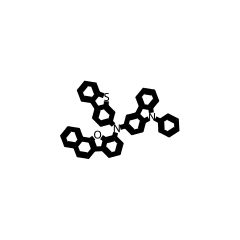 c1ccc(-n2c3ccccc3c3cc(N(c4ccc5c(c4)sc4ccccc45)c4cccc5c4oc4c6ccccc6ccc54)ccc32)cc1